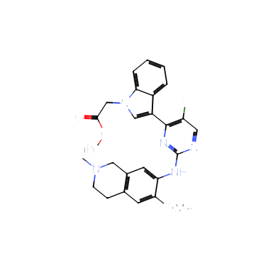 COc1cc2c(cc1Nc1ncc(Cl)c(-c3cn(CC(=O)OC(C)C)c4ccccc34)n1)CN(C)CC2